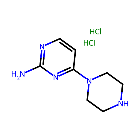 Cl.Cl.Nc1nccc(N2CCNCC2)n1